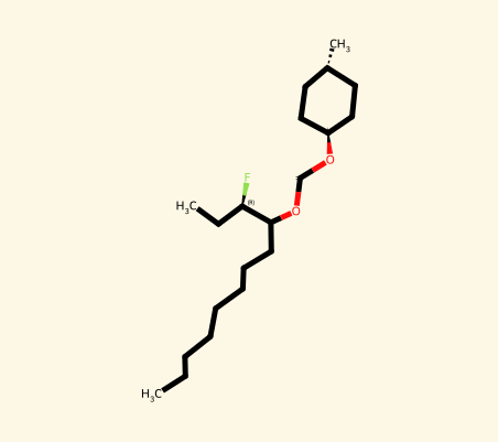 CCCCCCCCC(O[C]O[C@H]1CC[C@H](C)CC1)[C@H](F)CC